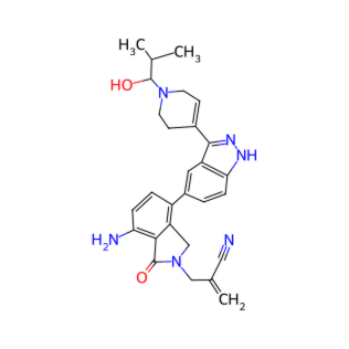 C=C(C#N)CN1Cc2c(-c3ccc4[nH]nc(C5=CCN(C(O)C(C)C)CC5)c4c3)ccc(N)c2C1=O